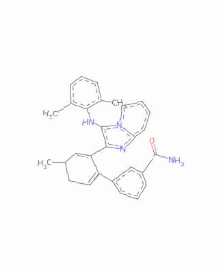 Cc1cccc(C)c1Nc1c(C2=CC(C)CC=C2c2cccc(C(N)=O)c2)nc2ccccn12